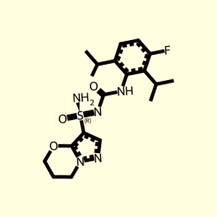 CC(C)c1ccc(F)c(C(C)C)c1NC(=O)N=[S@@](N)(=O)c1cnn2c1OCCC2